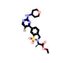 CCOC(=O)[C@@H](C)N1Cc2ccc(-c3nc(NC4CCOCC4)ncc3Br)cc2S1(=O)=O